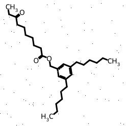 CCCCCCc1cc(CCCCCC)cc(COC(=O)CCCCCCC(=O)CC)c1